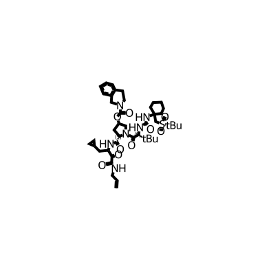 C=CCNC(=O)C(=O)C(CC1CC1)NC(=O)[C@@H]1CC(OC(=O)N2CCc3ccccc3C2)CN1C(=O)[C@@H](NC(=O)NC1(CS(=O)(=O)C(C)(C)C)CCCCC1)C(C)(C)C